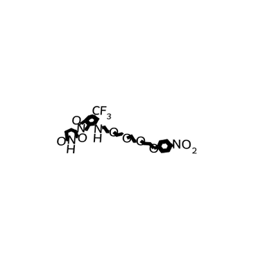 O=C1CCC(N2Cc3c(NCCOCCOCCOCCOc4ccc([N+](=O)[O-])cc4)cc(C(F)(F)F)cc3C2=O)C(=O)N1